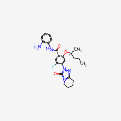 CCC[C@H](C)Oc1cc(-n2nc3n(c2=O)CCCC3)c(F)cc1C(=O)Nc1ccccc1N